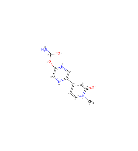 Cn1ccc(-c2cnc(OC(N)=O)cn2)cc1=O